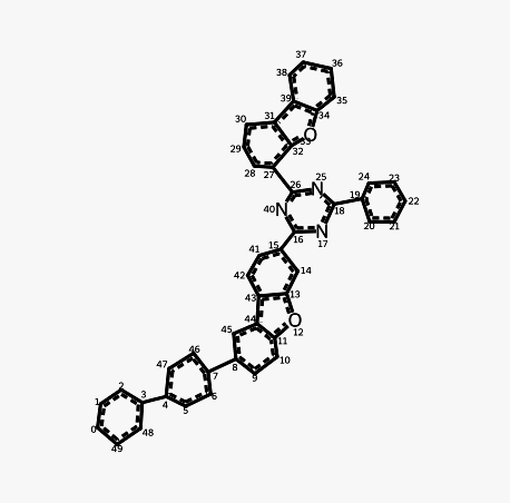 c1ccc(-c2ccc(-c3ccc4oc5cc(-c6nc(-c7ccccc7)nc(-c7cccc8c7oc7ccccc78)n6)ccc5c4c3)cc2)cc1